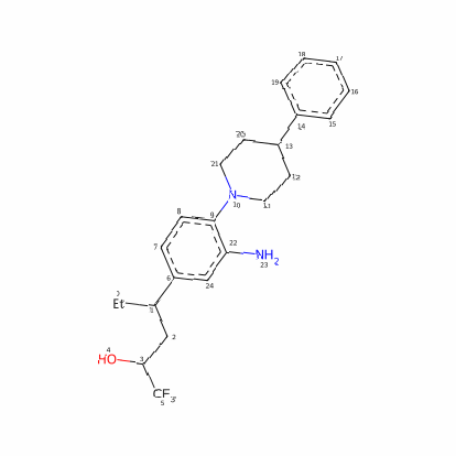 CCC(CC(O)C(F)(F)F)c1ccc(N2CCC(c3ccccc3)CC2)c(N)c1